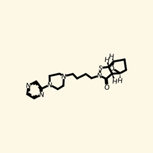 O=C1[C@@H]2[C@H](SN1CCCCN1CCN(c3cnccn3)CC1)[C@H]1CC[C@@H]2O1